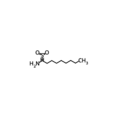 CCCCCCCCC(N)[SH](=O)=O